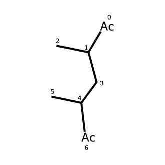 CC(=O)C(C)CC(C)C(C)=O